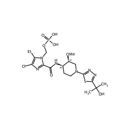 CCc1c(Cl)nc(C(=O)N[C@@H]2CCN(c3nnc(C(C)(C)O)s3)C[C@@H]2OC)n1COP(=O)(O)O